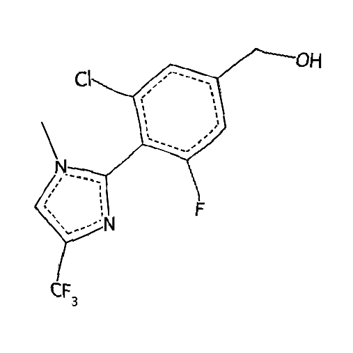 Cn1cc(C(F)(F)F)nc1-c1c(F)cc(CO)cc1Cl